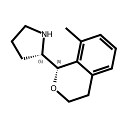 Cc1cccc2c1[C@@H]([C@@H]1CCCN1)OCC2